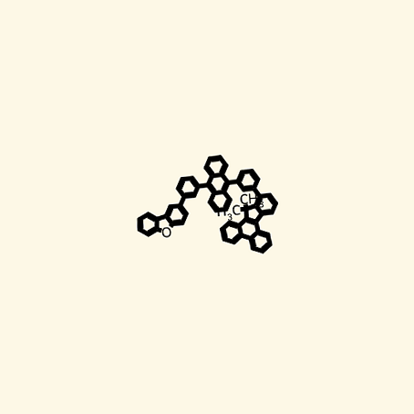 CC1(C)c2c(-c3cccc(-c4c5ccccc5c(-c5cccc(-c6ccc7oc8ccccc8c7c6)c5)c5ccccc45)c3)cccc2-c2c1c1ccccc1c1ccccc21